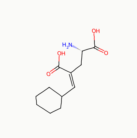 N[C@@H](C/C(=C/C1CCCCC1)C(=O)O)C(=O)O